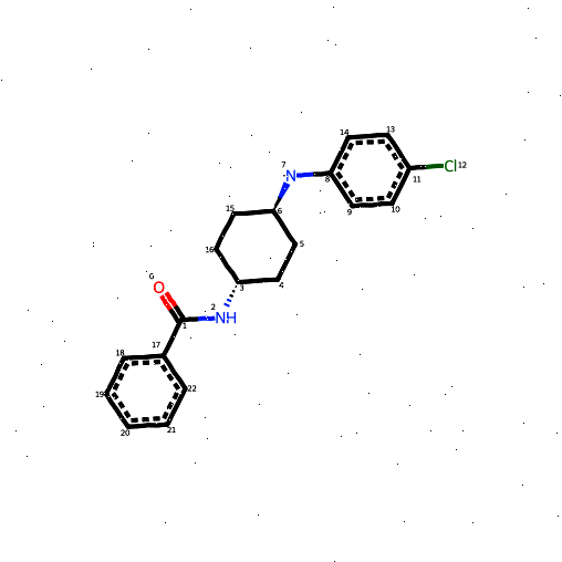 O=C(N[C@H]1CC[C@H]([N]c2ccc(Cl)cc2)CC1)c1ccccc1